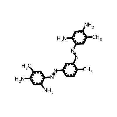 Cc1cc(N=Nc2ccc(C)c(N=Nc3cc(C)c(N)cc3N)c2)c(N)cc1N